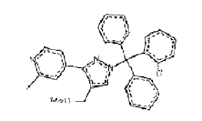 COCc1cn(C(c2ccccc2)(c2ccccc2)c2ccccc2Cl)nc1-c1ccnc(C)c1